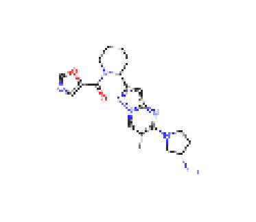 Cc1cn2nc([C@@H]3CCCCN3C(=O)c3cnco3)cc2nc1N1CC[C@H](N)C1